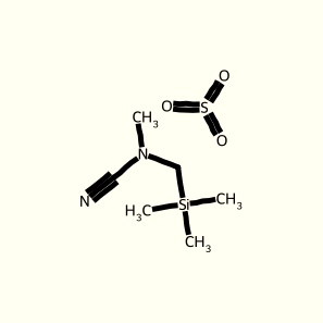 CN(C#N)C[Si](C)(C)C.O=S(=O)=O